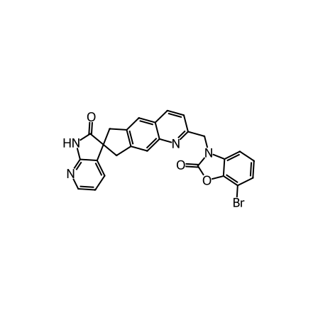 O=C1Nc2ncccc2C12Cc1cc3ccc(Cn4c(=O)oc5c(Br)cccc54)nc3cc1C2